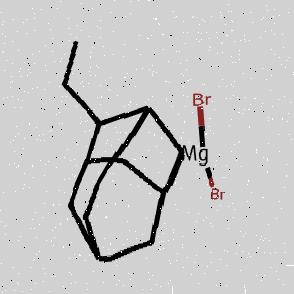 CC[C]1C2CC3CC(C2)CC1C3.[Br][Mg][Br]